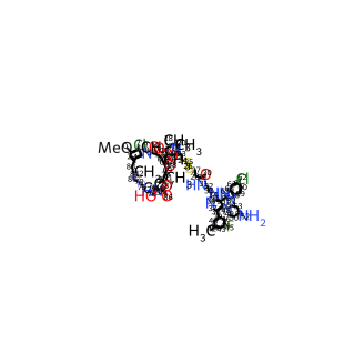 COc1cc2cc(c1Cl)N(C)C(=O)C[C@H](OC(=O)C(C)N(C)C(=O)CCSSCCC(=O)NCCNc1ncc(-c3cc(C)cc(F)c3)c(N3CCC(N)CC3)c1-c1nc3ccc(Cl)cc3[nH]1)C1(C)OC1C(C)C1CC(CO)(C/C=C/C=C(\C)C2)NC(=O)O1